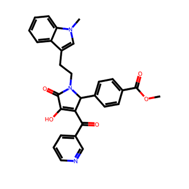 COC(=O)c1ccc(C2C(C(=O)c3cccnc3)=C(O)C(=O)N2CCc2cn(C)c3ccccc23)cc1